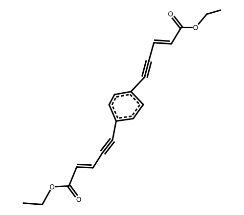 CCOC(=O)C=CC#Cc1ccc(C#CC=CC(=O)OCC)cc1